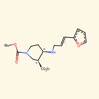 CCOC(=O)[C@H]1CN(C(=O)OC(C)(C)C)CC[C@H]1NC/C=C/c1ccco1